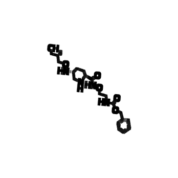 CCCCON[C@@H]1CC[C@@H](C(=O)NOCCNC(=O)OCc2ccccc2)NC1